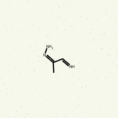 C/C(C=N)=N/N